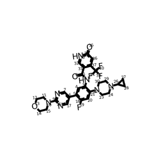 O=C(Nc1cc(-c2cnc(N3CCOCC3)nc2)c(F)cc1N1CCN(C2CC2)CC1)c1c[nH]c(=O)cc1C(F)(F)F